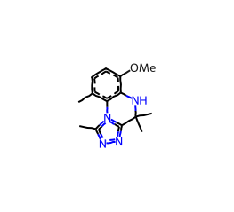 COc1ccc(C)c2c1NC(C)(C)c1nnc(C)n1-2